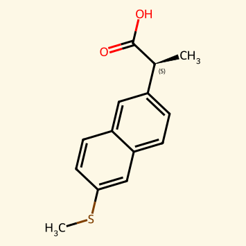 CSc1ccc2cc([C@H](C)C(=O)O)ccc2c1